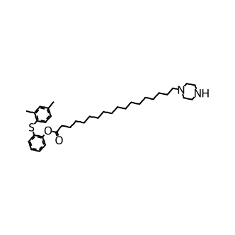 Cc1ccc(Sc2ccccc2OC(=O)CCCCCCCCCCCCCCCCCN2CCNCC2)c(C)c1